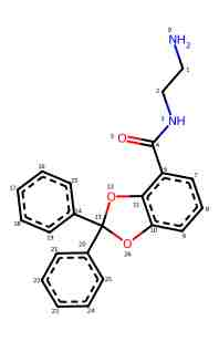 NCCNC(=O)c1cccc2c1OC(c1ccccc1)(c1ccccc1)O2